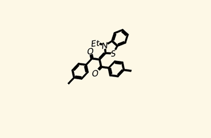 CCN1C(=C(C(=O)c2ccc(C)cc2)C(=O)c2ccc(C)cc2)Sc2ccccc21